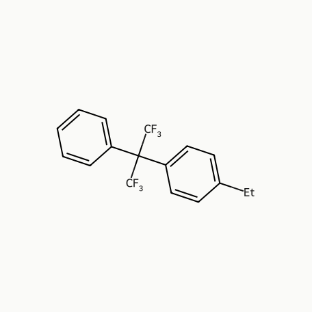 CCc1ccc(C(c2ccccc2)(C(F)(F)F)C(F)(F)F)cc1